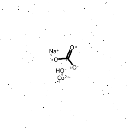 O=C([O-])[O-].[Co+2].[Na+].[OH-]